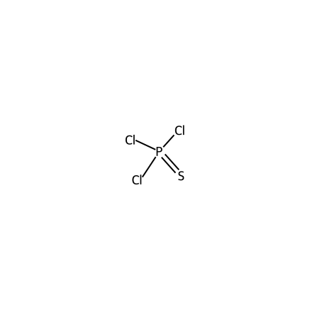 S=P(Cl)(Cl)Cl